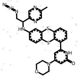 Cc1cnc(C(CN=[N+]=[N-])Nc2ccc3c(c2)Sc2cccc(-c4cc(N5CCOCC5)cc(=O)[nH]4)c2S3)cn1